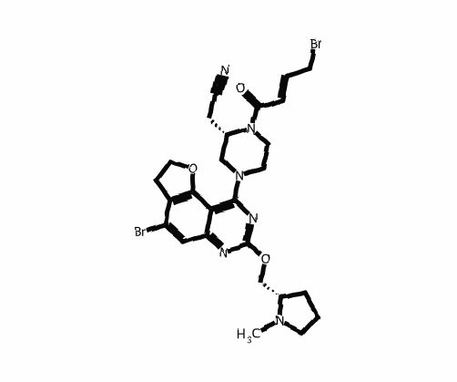 CN1CCC[C@H]1COc1nc(N2CCN(C(=O)/C=C/CBr)[C@@H](CC#N)C2)c2c3c(c(Br)cc2n1)CCO3